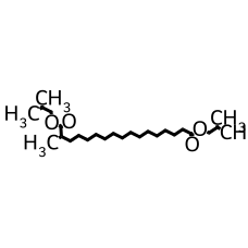 CC(C)COC(=O)CCCCCCCCCCCCCCC(C)C(=O)OCC(C)C